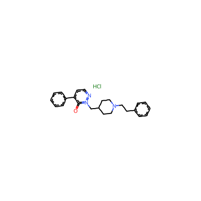 Cl.O=c1c(-c2ccccc2)ccnn1CC1CCN(CCc2ccccc2)CC1